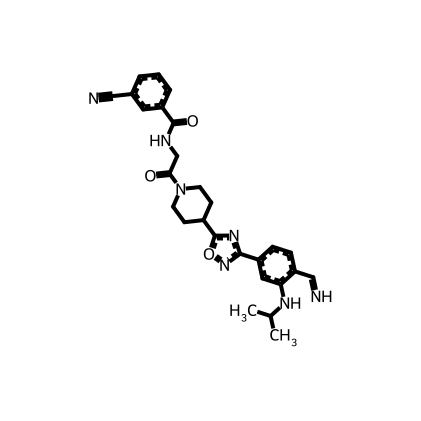 CC(C)Nc1cc(-c2noc(C3CCN(C(=O)CNC(=O)c4cccc(C#N)c4)CC3)n2)ccc1C=N